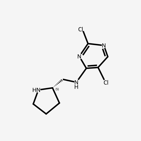 Clc1ncc(Cl)c(NC[C@@H]2CCCN2)n1